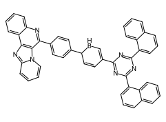 B1C=C(c2nc(-c3cccc4ccccc34)nc(-c3cccc4ccccc34)n2)C=CC1c1ccc(-c2nc3ccccc3c3nc4ccccn4c23)cc1